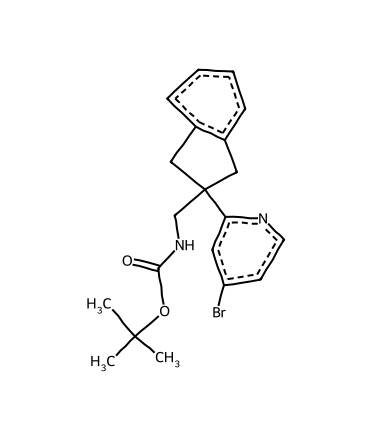 CC(C)(C)OC(=O)NCC1(c2cc(Br)ccn2)Cc2ccccc2C1